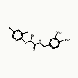 CCC(Oc1ncc(Cl)cc1C)C(=O)NCc1ccc(OC)c(OC)c1